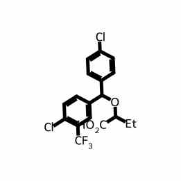 CCC(OC(c1ccc(Cl)cc1)c1ccc(Cl)c(C(F)(F)F)c1)C(=O)O